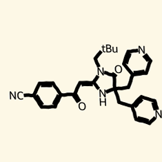 CC(C)(C)CN1C(=O)C(Cc2ccncc2)(Cc2ccncc2)NC1=CC(=O)c1ccc(C#N)cc1